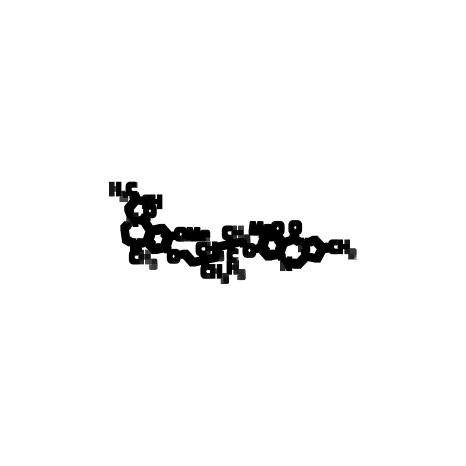 C=C(S)CN1CCN(C)c2cc(OCCC(C)(C)CCC(C)(C)COc3cc4c(cc3OC)C(=O)N3CC(=C)CC3C=N4)c(OC)cc2C1=O